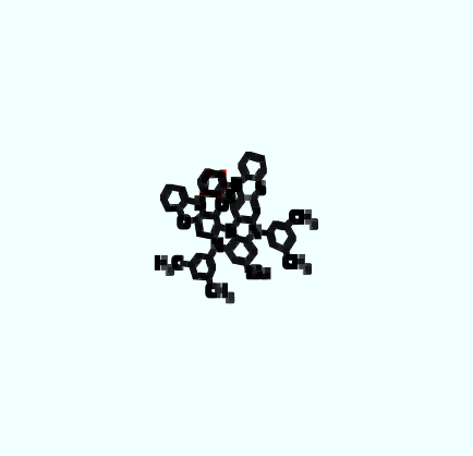 Cc1cc(C)cc(N2c3cc(C(C)(C)C)cc4c3B(c3c2cc2c5c3Oc3ccccc3B5c3ccccc3O2)c2c(cc3c5c2Sc2ccccc2B5c2ccccc2S3)N4c2cc(C)cc(C)c2)c1